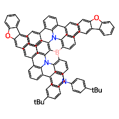 CC(C)(C)c1ccc(N(c2ccc(C(C)(C)C)cc2)c2ccc3c(c2)N(c2c(-c4ccccc4)cccc2-c2ccccc2)c2cc(-c4ccc5oc6ccccc6c5c4)cc4c2B3c2ccc(-c3ccc5oc6ccccc6c5c3)cc2N4c2c(-c3ccccc3)cccc2-c2ccccc2)cc1